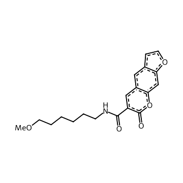 COCCCCCCNC(=O)c1cc2cc3ccoc3cc2oc1=O